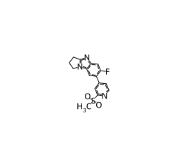 CS(=O)(=O)c1cc(-c2cc3c(cc2F)nc2n3CCC2)ccn1